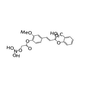 COc1cc(/C=C/C(=O)Oc2ccccc2C(=O)O)ccc1OC(=O)CON(O)O